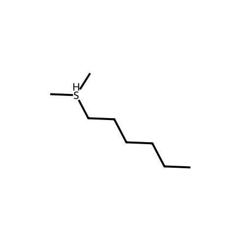 CCCCCC[SH](C)C